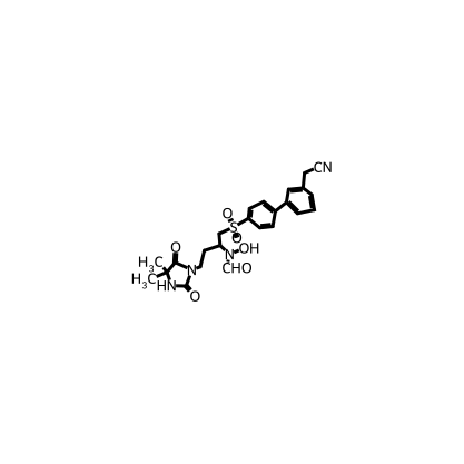 CC1(C)NC(=O)N(CCC(CS(=O)(=O)c2ccc(-c3cccc(CC#N)c3)cc2)N(O)C=O)C1=O